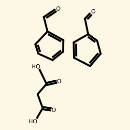 O=C(O)CC(=O)O.O=Cc1ccccc1.O=Cc1ccccc1